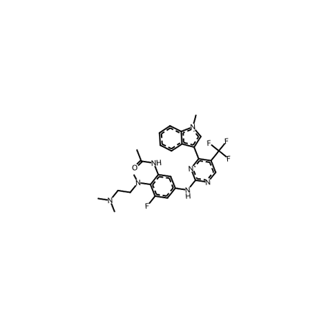 CC(=O)Nc1cc(Nc2ncc(C(F)(F)F)c(-c3cn(C)c4ccccc34)n2)cc(F)c1N(C)CCN(C)C